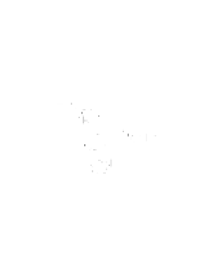 CCCSNC1CC2=C(c3nc(C)co3)CN=C(c3nccs3)N2C1